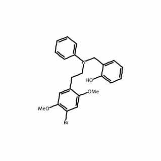 COc1cc(CCN(Cc2ccccc2O)c2ccccc2)c(OC)cc1Br